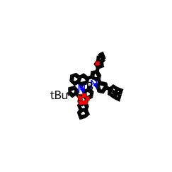 CC(C)(C)c1ccc(N2c3c4c(cc5ccccc35)-c3cc(C56CC7CC8CC7(C5)C8C6)cc5c6cc(C78CC9CC%10CC(C7)C%109C8)ccc6n(c35)B4c3ccc4c(sc5cc6ccccc6cc54)c32)c(-c2ccccc2)c1